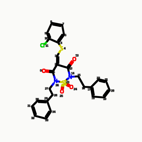 O=C1C(=CSc2ccccc2Cl)C(=O)N(CCc2ccccc2)S(=O)(=O)N1CCc1ccccc1